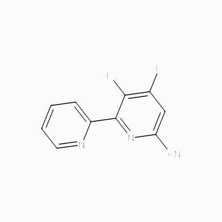 [2H]c1cc(C#N)nc(-c2ccccn2)c1[2H]